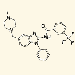 CN1CCN(Cc2ccc3c(c2)nc(NC(=O)c2cccc(C(F)(F)F)c2)n3-c2ccccc2)CC1